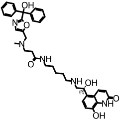 CN(CCC(=O)NCCCCCNC[C@H](O)c1ccc(O)c2[nH]c(=O)ccc12)Cc1cnc(C(O)(c2ccccc2)c2ccccc2)o1